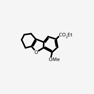 CCOC(=O)c1cc(OC)c2oc3c(c2c1)CCCC3